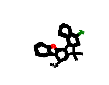 Bc1cc2c(c3oc4ccccc4c13)-c1c(cc(Br)c3ccccc13)C2(C)C